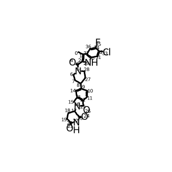 Cc1c(C(=O)N2CCC(c3ccc4c(c3)CN(C3CCC(=O)NC3=O)C4=O)CC2)[nH]c2cc(Cl)c(F)cc12